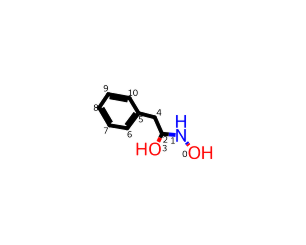 ONC(O)Cc1ccccc1